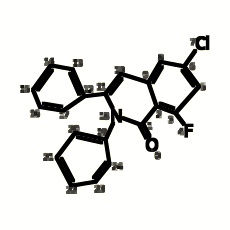 O=c1c2c(F)cc(Cl)cc2cc(-c2ccccc2)n1-c1ccccc1